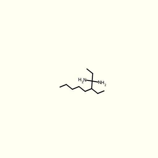 CCCCCC(CC)C(N)(N)CC